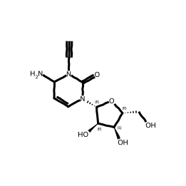 C#CN1C(=O)N([C@@H]2O[C@H](CO)[C@@H](O)[C@H]2O)C=CC1N